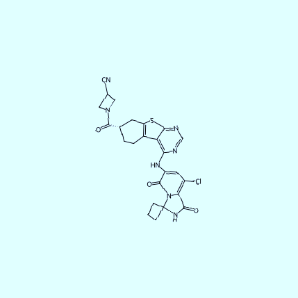 N#CC1CN(C(=O)[C@H]2CCc3c(sc4ncnc(Nc5cc(Cl)c6n(c5=O)C5(CCC5)NC6=O)c34)C2)C1